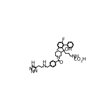 Cc1ccc(F)c(-c2ccccc2)c1C(O)(CCCNC(=O)O)C1CCCN(C(=O)c2ccc(CNCCc3nnn[nH]3)cc2)C1